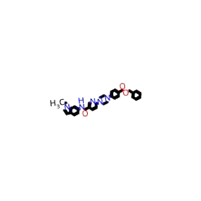 CCn1ccc2ccc(NC(=O)c3ccc(N4CCN(c5ccc(C(=O)OCc6ccccc6)cc5)CC4)nc3)cc21